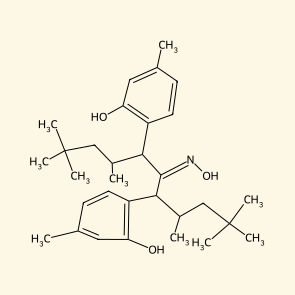 Cc1ccc(C(C(=NO)C(c2ccc(C)cc2O)C(C)CC(C)(C)C)C(C)CC(C)(C)C)c(O)c1